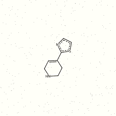 C1=C(c2nccs2)CCNC1